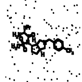 CCC[C@H](N)C(=O)N([C@H]1CC[C@@H]2CN(Cc3ccc(C(F)(F)F)cc3)C[C@@H]21)S(C)(=O)=O